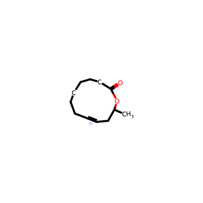 CC1C/C=C/CCCCCCC(=O)O1